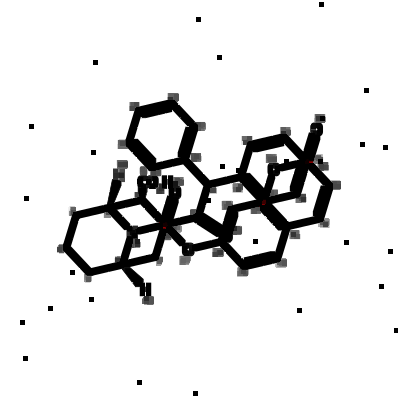 O=C(O)[C@@H]1[C@H]2CCC[C@@H](CN1C(=O)C(c1ccccc1)c1ccccc1)N2C(=O)Oc1ccc2ccc(=O)oc2c1